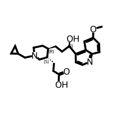 COc1ccc2nccc([C@H](O)CC[C@@H]3CCN(CC4CC4)C[C@H]3CCC(=O)O)c2c1